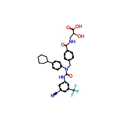 N#Cc1cc(NC(=O)N(Cc2ccc(C(=O)NCC(O)C(=O)O)cc2)c2ccc(C3CCCCC3)cc2)cc(C(F)(F)F)c1